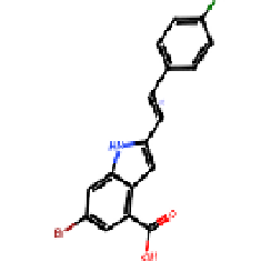 O=C(O)c1cc(Br)cc2[nH]c(/C=C/c3ccc(Cl)cc3)cc12